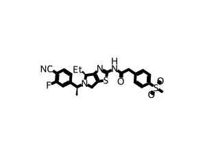 CC[C@H]1c2nc(NC(=O)Cc3ccc(S(C)(=O)=O)cc3)sc2CN1[C@@H](C)c1ccc(C#N)c(F)c1